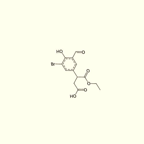 CCOC(=O)C(CC(=O)O)c1cc(Br)c(O)c(C=O)c1